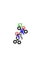 CCCCC(Cc1nc2ccccc2c(=O)n1-c1cccc(Cl)c1)C(=O)N1CCC(c2ccccc2)(c2ccccc2)CC1